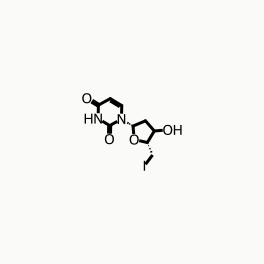 O=c1ccn([C@@H]2CC(O)[C@H](CI)O2)c(=O)[nH]1